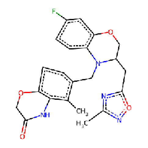 Cc1noc(CC2COc3cc(F)ccc3N2Cc2ccc3c(c2C)NC(=O)CO3)n1